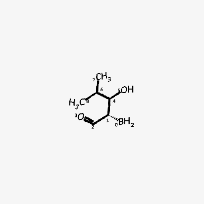 B[C@H](C=O)C(O)C(C)C